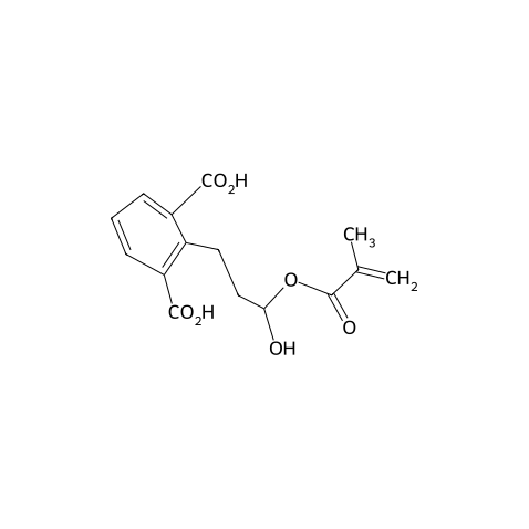 C=C(C)C(=O)OC(O)CCc1c(C(=O)O)cccc1C(=O)O